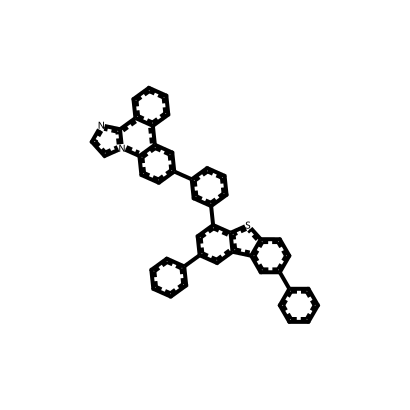 c1ccc(-c2ccc3sc4c(-c5cccc(-c6ccc7c(c6)c6ccccc6c6nccn76)c5)cc(-c5ccccc5)cc4c3c2)cc1